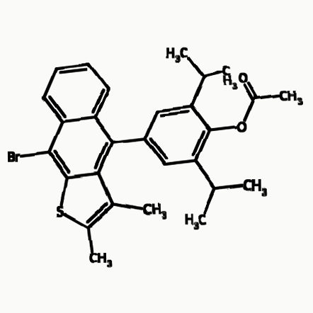 CC(=O)Oc1c(C(C)C)cc(-c2c3ccccc3c(Br)c3sc(C)c(C)c23)cc1C(C)C